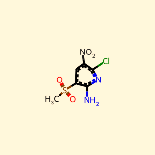 CS(=O)(=O)c1cc([N+](=O)[O-])c(Cl)nc1N